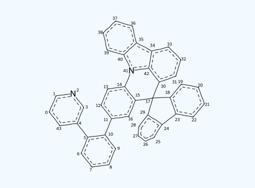 c1cncc(-c2ccccc2-c2ccc3c(c2)C2(c4ccccc4-c4ccccc42)c2cccc4c5ccccc5n-3c24)c1